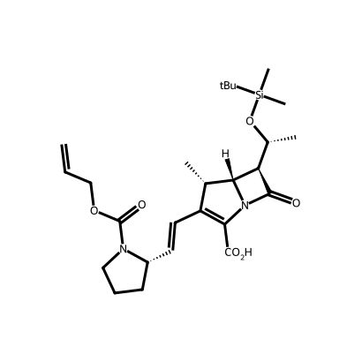 C=CCOC(=O)N1CCC[C@H]1/C=C/C1=C(C(=O)O)N2C(=O)[C@H]([C@@H](C)O[Si](C)(C)C(C)(C)C)[C@H]2[C@H]1C